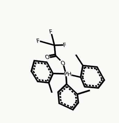 Cc1ccccc1[PH](OC(=O)C(F)(F)F)(c1ccccc1C)c1ccccc1C